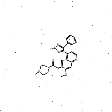 COc1cc2ncnc(-c3cn(C)nc3-c3ccccc3)c2cc1OC(=O)N1CCN(C)C[C@H]1C